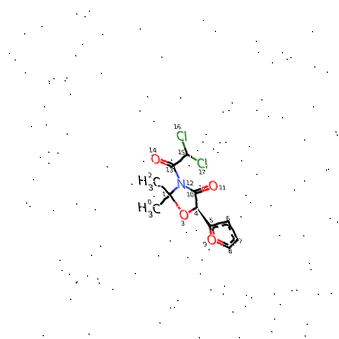 CC1(C)O[C@H](c2ccco2)C(=O)N1C(=O)C(Cl)Cl